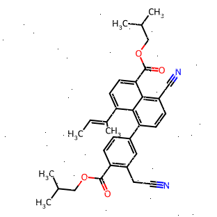 C/C=C(\C)c1ccc(C(=O)OCC(C)C)c2c(C#N)ccc(-c3ccc(C(=O)OCC(C)C)c(CC#N)c3)c12